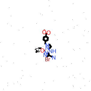 COC(=O)c1ccc(Cn2ccc(Nc3c(C#N)c(Br)nn3COCC[Si](C)(C)C)n2)cc1